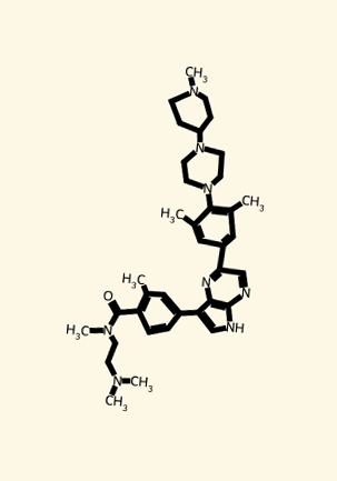 Cc1cc(-c2c[nH]c3ncc(-c4cc(C)c(N5CCN(C6CCN(C)CC6)CC5)c(C)c4)nc23)ccc1C(=O)N(C)CCN(C)C